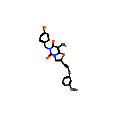 COc1cccc(CC#Cc2cn3c(=O)n(Cc4ccc(S)cc4)c(=O)c(C)c3s2)c1